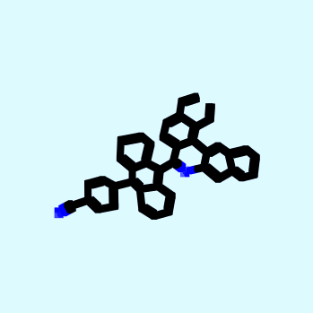 C=Cc1ccc2c(-c3c4ccccc4c(-c4ccc(C#N)cc4)c4ccccc34)nc3cc4ccccc4cc3c2c1C=C